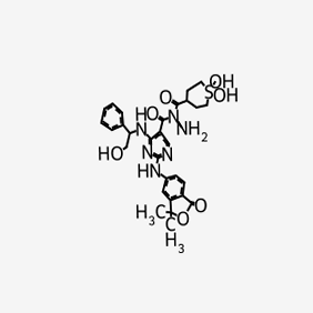 CC1(C)OC(=O)c2ccc(Nc3ncc(C(=O)N(N)C(=O)C4CCS(O)(O)CC4)c(NC(CO)c4ccccc4)n3)cc21